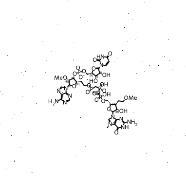 COCC[C@@H]1[C@@H](COP(=O)(O)OP(=O)(O)CP(=O)(O)OCC[C@H]2O[C@@H](n3cnc4c(N)ncnc43)[C@H](OC)[C@@H]2OP(=O)([O-])OC[C@H]2O[C@@H](n3ccc(=O)[nH]c3=O)[C@H](O)[C@@H]2O)OC(n2c[n+](C)c3c(=O)[nH]c(N)nc32)[C@@H]1O